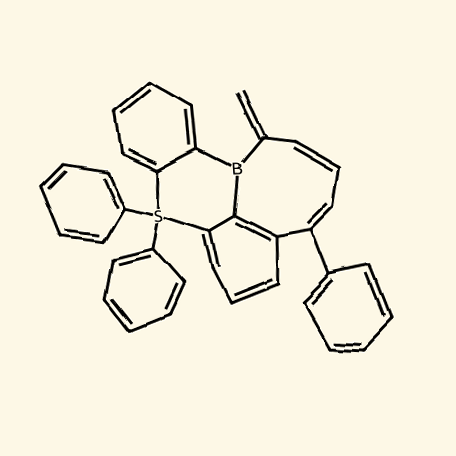 C=C1/C=C\C=C(\c2ccccc2)c2cccc3c2B1c1ccccc1S3(c1ccccc1)c1ccccc1